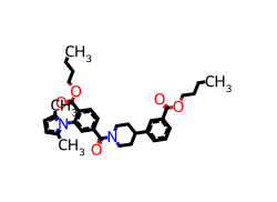 CCCCOC(=O)c1cccc(C2CCN(C(=O)c3ccc(C(=O)OCCCC)c(-n4c(C)ccc4C)c3)CC2)c1